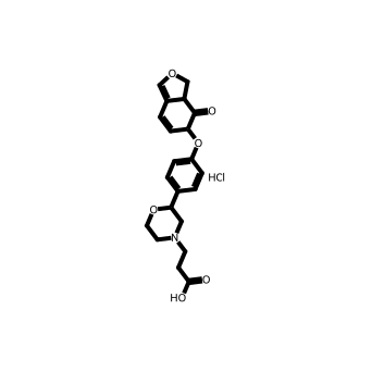 Cl.O=C(O)CCN1CCOC(c2ccc(OC3C=CC4=COCC4C3=O)cc2)C1